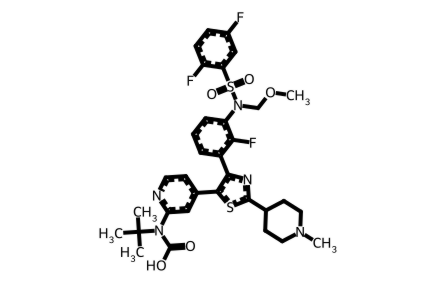 COCN(c1cccc(-c2nc(C3CCN(C)CC3)sc2-c2ccnc(N(C(=O)O)C(C)(C)C)c2)c1F)S(=O)(=O)c1cc(F)ccc1F